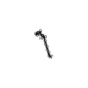 [N-]=[N+]=NCCOCCOCCOCCOCCOCCNC(=O)c1ccc(-c2cc(=O)c3ccc4c(c3o2)OCO4)cc1